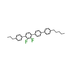 CCCCCc1ccc(-c2ccc(-c3ccc(-c4ccc(CCC)cc4)c(F)c3F)cc2)cc1